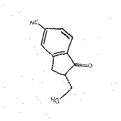 N#Cc1ccc2c(c1)CC(CO)C2=O